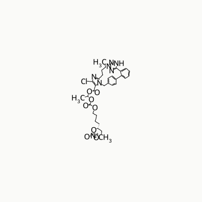 CCCCc1nc(Cl)c(C(=O)OC(C)OC(=O)OCCCC[C@H](CC)O[N+](=O)[O-])n1Cc1ccc(-c2ccccc2-c2nnn[nH]2)cc1